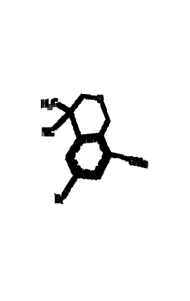 COc1cc(Br)cc2c1COCC2(C)C#N